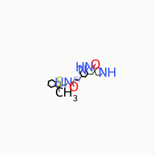 Cc1c(CNC(=O)/C=C/c2cnc3c(c2)CC2(CCNCC2)C(=O)N3)sc2ccccc12